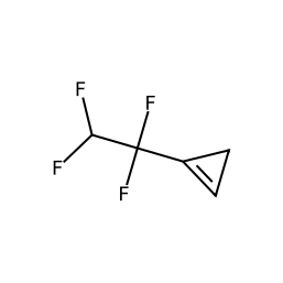 FC(F)C(F)(F)C1=CC1